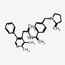 C=C(Cc1c(-c2ccccc2)cnc(C)c1C)NC(=C)c1ccc(CN2CCCC2=C)cc1